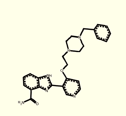 NC(=O)c1cccc2[nH]c(-c3cnccc3OCCN3CCN(Cc4ccccc4)CC3)nc12